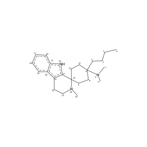 CCCCC1(N(C)C)CCC2(CC1)c1[nH]c3ccccc3c1CCN2C